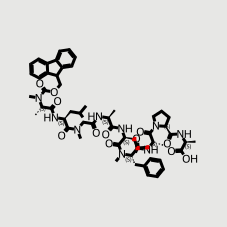 CC(C)C[C@H](NC(=O)[C@H](C)N(C)C(=O)OCC1c2ccccc2-c2ccccc21)C(=O)N(C)CC(=O)N[C@@H](C)C(=O)N[C@@H](CC(C)C)C(=O)N(C)[C@@H](Cc1ccccc1)C(=O)N[C@@H](C)C(=O)N1CCC[C@H]1C(=O)N[C@@H](C)C(=O)O